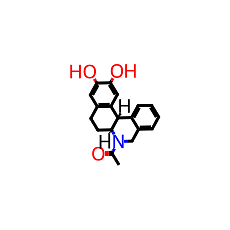 CC(=O)N1Cc2ccccc2[C@H]2c3cc(O)c(O)cc3CC[C@@H]21